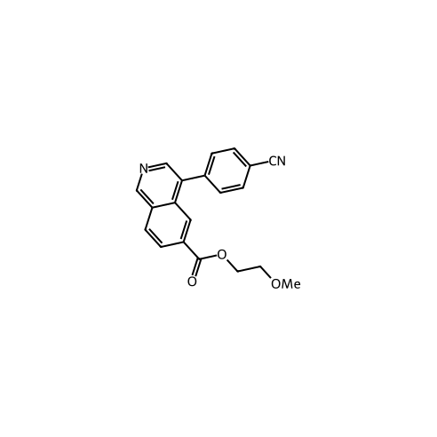 COCCOC(=O)c1ccc2cncc(-c3ccc(C#N)cc3)c2c1